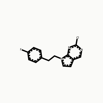 Fc1ccc(CCn2ccc3cnc(Cl)nc32)cc1